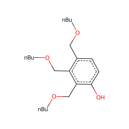 CCCCOCc1ccc(O)c(COCCCC)c1COCCCC